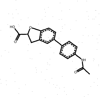 CC(=O)Nc1ccc(-c2ccc3c(c2)CC(C(=O)O)O3)cc1